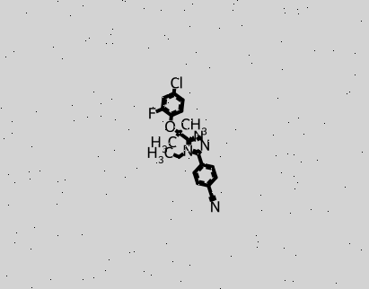 CCn1c(-c2ccc(C#N)cc2)nnc1C(C)(C)Oc1ccc(Cl)cc1F